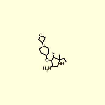 CCC1(C)NCC(N)C(OC2CCN(C3COC3)CC2)C1F